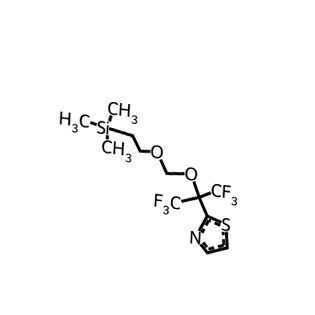 C[Si](C)(C)CCOCOC(c1nccs1)(C(F)(F)F)C(F)(F)F